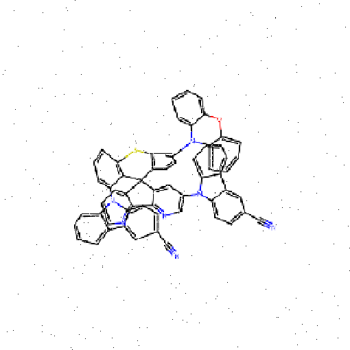 N#Cc1ccc2c(c1)c1ccccc1n2-c1cnc2c(c1)C1(c3ccc(N4c5ccccc5Oc5ccccc54)cc3Sc3cccc(-n4c5ccccc5c5cc(C#N)ccc54)c31)c1cccnc1-2